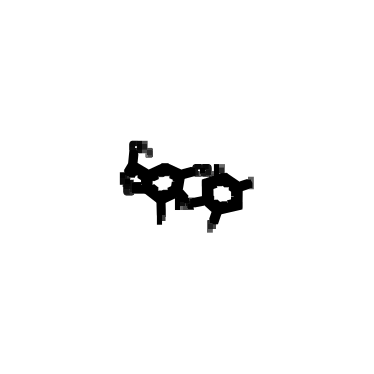 Cc1noc2c(F)c(Nc3ccc(I)cc3F)c(C(=O)O)cc12